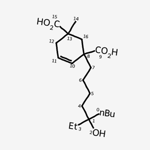 CCCCC(O)(CC)CCCCC1(C(=O)O)C=CCC(C)(C(=O)O)C1